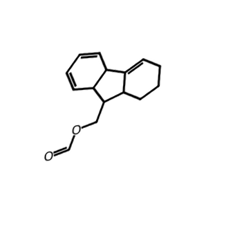 O=COCC1C2CCCC=C2C2C=CC=CC21